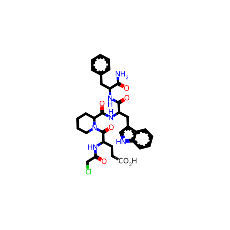 NC(=O)C(Cc1ccccc1)NC(=O)C(Cc1c[nH]c2ccccc12)NC(=O)C1CCCCN1C(=O)C(CCC(=O)O)NC(=O)CCl